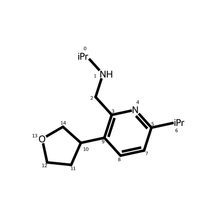 CC(C)NCc1nc(C(C)C)ccc1C1CCOC1